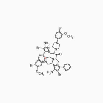 COc1cc(N2CCN(C(Cn3nc(N)c(Br)c3-c3ccccc3)C(=O)C(Cn3nc(N)c(Br)c3-c3ccccc3)N3CCN(c4ccc(Br)c(OC)c4)CC3)CC2)ccc1Br